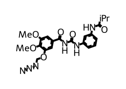 COc1cc(C(=O)NC(=O)Nc2cccc(NC(=O)C(C)C)c2)cc(OCN=[N+]=[N-])c1OC